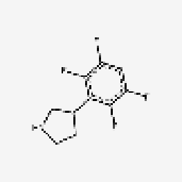 Fc1cc(F)c(F)c(C2CCNC2)c1F